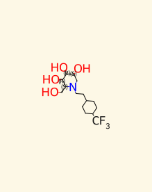 OC[C@H]1[C@@H](O)[C@H](O)[C@@H](O)CN1CCC1CCC(C(F)(F)F)CC1